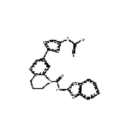 O=C(O)Oc1csc(-c2ccc3c(c2)N(C(=O)Nc2nc4ccccc4s2)CCC3)n1